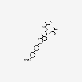 C=C(C)C(=O)OCC(COC(=O)C(C)CO)c1ccc(CCC2CCC(C3CCC(CCCCC)CC3)CC2)c(F)c1F